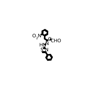 O=CO/C(Cc1ccccc1[N+](=O)[O-])=N/Nc1nc(-c2ccccc2)cs1